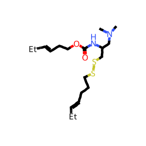 CC/C=C/CCCSSCC(CN(C)C)NC(=O)OCC/C=C/CC